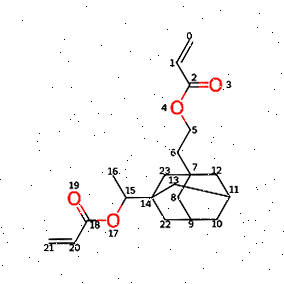 C=CC(=O)OCCC12CC3CC(C1)CC(C(C)OC(=O)C=C)(C3)C2